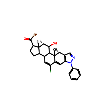 CC12Cc3cnn(-c4ccccc4)c3C=C1C(F)=CC1C2C(O)CC2(C)C(C(=O)S)CCC12